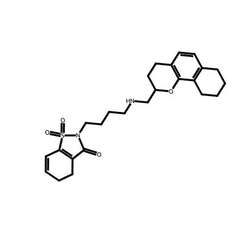 O=C1C2=C(C=CCC2)S(=O)(=O)N1CCCCNCC1CCc2ccc3c(c2O1)CCCC3